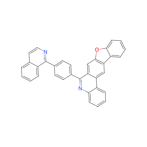 c1ccc2c(-c3ccc(-c4nc5ccccc5c5cc6c(cc45)oc4ccccc46)cc3)nccc2c1